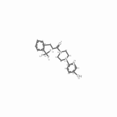 O=C(CCc1ccccc1C(F)(F)F)N1CCN(c2ccc(O)cn2)CC1